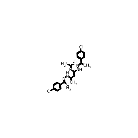 C=C(/C=C(\N=C(/C)N)N/N=C(\C)c1ccc(Cl)cc1)N/N=C(\C)c1ccc(Cl)cc1